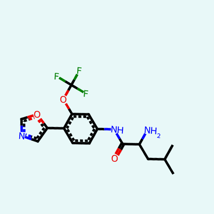 CC(C)CC(N)C(=O)Nc1ccc(-c2cnco2)c(OC(F)(F)F)c1